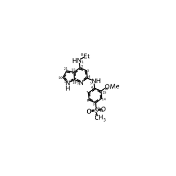 CCNc1cc(Nc2ccc(S(C)(=O)=O)cc2OC)nc2[nH]ccc12